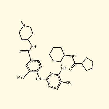 COc1cc(C(=O)NC2CCN(C)CC2)ccc1Nc1ncc(C(F)(F)F)c(N[C@@H]2CCCC[C@H]2NC(=O)C2CCCC2)n1